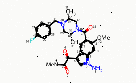 CNC(=O)C(=O)c1cn(N)c2cc(OC)c(C(=O)N3C[C@H](C)N(Cc4ccc(F)cc4)C[C@H]3C)cc12